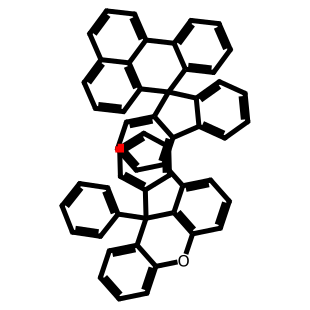 c1ccc(C2(c3ccccc3)c3ccccc3Oc3cccc(-c4cccc5c4-c4ccccc4C54c5ccccc5-c5cccc6cccc4c56)c32)cc1